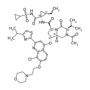 C=C[C@@H]1C[C@]1(NC(=O)[C@@H]1C[C@@H](Oc2cc(-c3nc(C(C)C)cs3)nc3c(Cl)c(OCCN4CCOCC4)ccc23)[C@H]2CN(C(C)=O)[C@H](C(C)C)C(=O)N21)C(=O)NS(=O)(=O)C1CC1